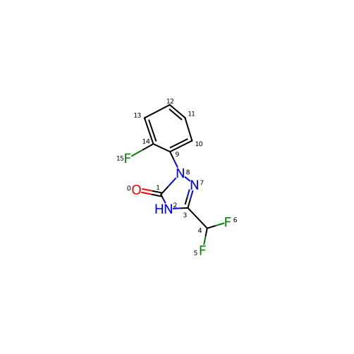 O=c1[nH]c(C(F)F)nn1-c1ccccc1F